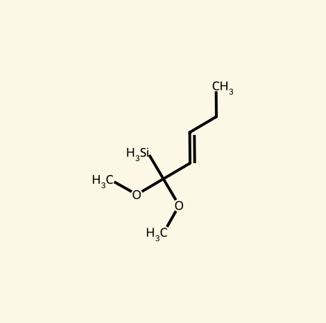 CCC=CC([SiH3])(OC)OC